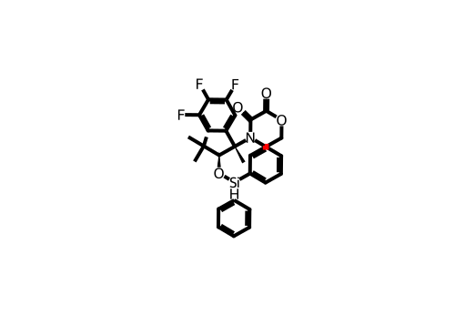 CC(C)(C)[C@H](O[SiH](c1ccccc1)c1ccccc1)[C@](C)(c1cc(F)c(F)c(F)c1)N1CCOC(=O)C1=O